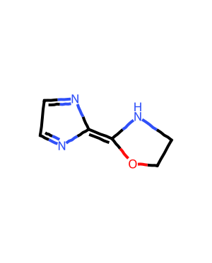 C1=NC(=C2NCCO2)N=C1